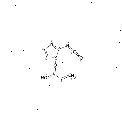 C=CC(=O)O.O=C=Nc1nccs1